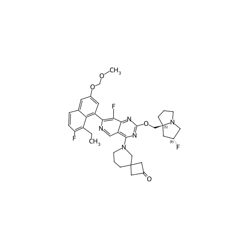 CCc1c(F)ccc2cc(OCOC)cc(-c3ncc4c(N5CCCC6(CC(=O)C6)C5)nc(OC[C@@]56CCCN5C[C@H](F)C6)nc4c3F)c12